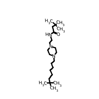 CC(C)(C)CCCCCCN1CCN(CCNC(=O)CC(C)(C)C)CC1